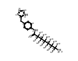 O=C(Nc1ccc(Cc2nnn[nH]2)cc1)C(F)(F)C(F)(F)C(F)(F)C(F)(F)C(F)(F)C(F)(F)C(F)(F)F